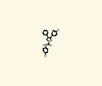 O=C(Nc1ccc(Cl)cc1)N1CC(c2ccccc2)C(c2ccc(Cl)cc2)=N1